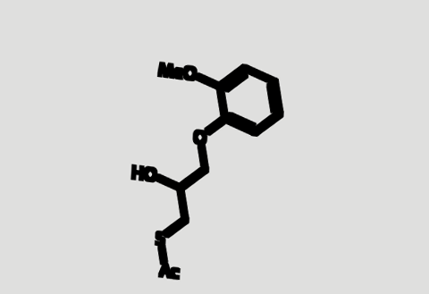 COc1ccccc1OCC(O)CSC(C)=O